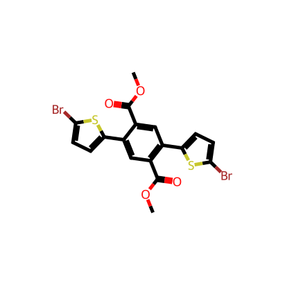 COC(=O)c1cc(-c2ccc(Br)s2)c(C(=O)OC)cc1-c1ccc(Br)s1